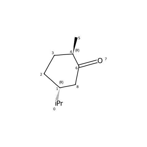 CC(C)[C@@H]1CC[C@@H](C)C(=O)C1